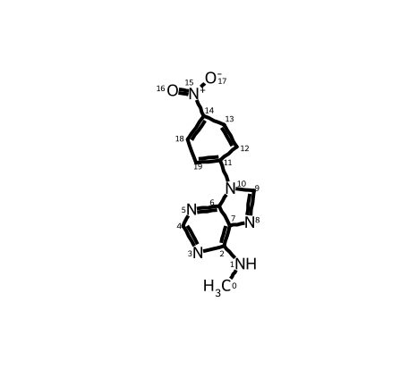 CNc1ncnc2c1ncn2-c1ccc([N+](=O)[O-])cc1